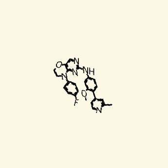 COc1cc(Nc2ncc3c(n2)N(c2ccc(F)cc2)CCO3)ccc1-c1ccnc(C)c1